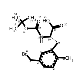 Cc1ccc(CBr)cc1C[C@H](NC(=O)OC(C)(C)C)C(=O)O